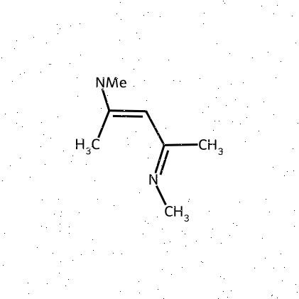 CN=C(C)C=C(C)NC